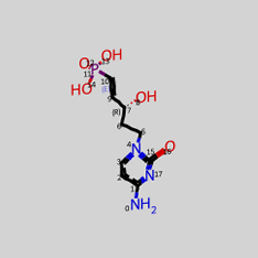 Nc1ccn(CC[C@@H](O)/C=C/P(=O)(O)O)c(=O)n1